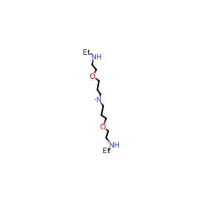 CCNCCOCCC[N]CCCOCCNCC